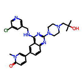 Cn1cc(-c2ccc3nc(N4CCN(CC(C)(C)O)CC4)nc(NCc4cncc(Cl)c4)c3c2)ccc1=O